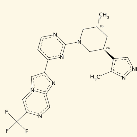 Cc1n[nH]cc1[C@@H]1C[C@@H](C)CN(c2nccc(-c3cn4cc(C(F)(F)F)ncc4n3)n2)C1